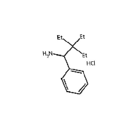 CCC(CC)(CC)C(N)c1ccccc1.Cl